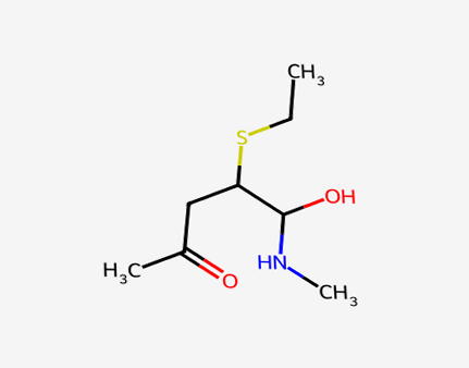 CCSC(CC(C)=O)C(O)NC